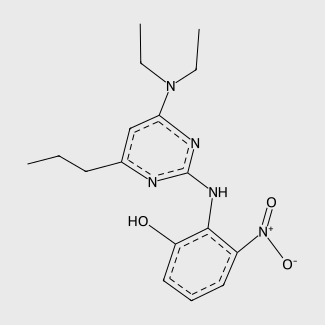 CCCc1cc(N(CC)CC)nc(Nc2c(O)cccc2[N+](=O)[O-])n1